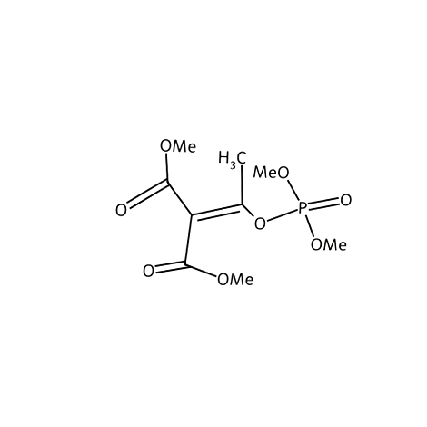 COC(=O)C(C(=O)OC)=C(C)OP(=O)(OC)OC